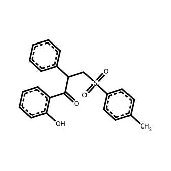 Cc1ccc(S(=O)(=O)CC(C(=O)c2ccccc2O)c2ccccc2)cc1